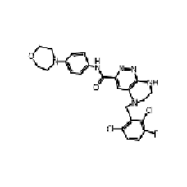 O=C(Nc1ccc(N2CCOCC2)cc1)c1cc2c(nn1)NCCN2Cc1c(Cl)ccc(F)c1Cl